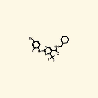 O=C(NCC1CCCCC1)c1cnc(Nc2ccc(Br)cc2F)nc1C(F)(F)F